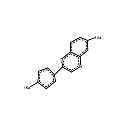 CC(C)(C)c1ccc(-c2cnc3cc(C(C)(C)C)ccc3n2)cc1